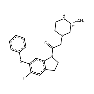 C[C@@H]1CN(CC(=O)N2CCc3cc(F)c(Sc4ccccc4)cc32)CCN1